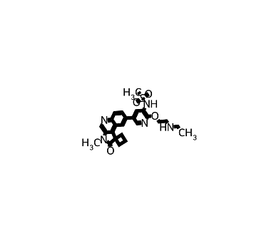 CCNCCOc1ncc(-c2ccc3ncc4c(c3c2)C2(CCC2)C(=O)N4C)cc1NS(C)(=O)=O